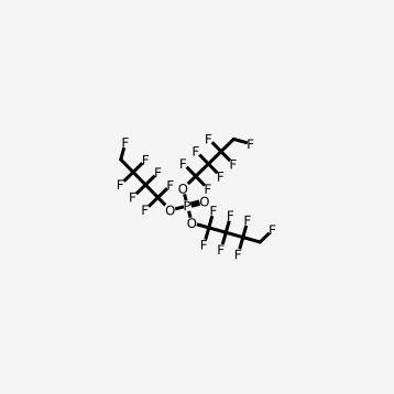 O=P(OC(F)(F)C(F)(F)C(F)(F)CF)(OC(F)(F)C(F)(F)C(F)(F)CF)OC(F)(F)C(F)(F)C(F)(F)CF